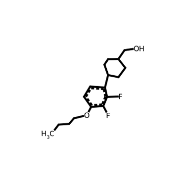 CCCCOc1ccc(C2CCC(CO)CC2)c(F)c1F